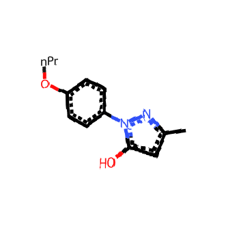 CCCOc1ccc(-n2nc(C)cc2O)cc1